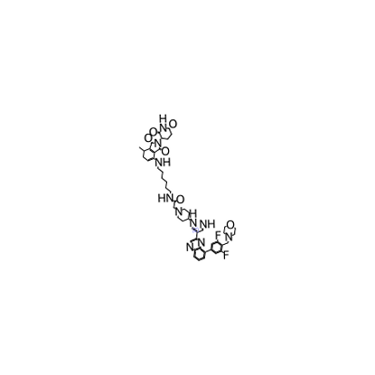 CC1CC=C(NCCCCCCNC(=O)CN2CCC(N/C=C(\C=N)c3cnc4cccc(-c5cc(F)c(CN6CCOCC6)c(F)c5)c4n3)CC2)C2=C1C(=O)N(C1CCC(=O)NC1=O)C2=O